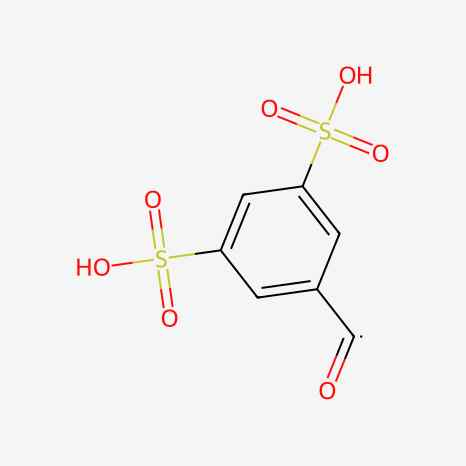 O=[C]c1cc(S(=O)(=O)O)cc(S(=O)(=O)O)c1